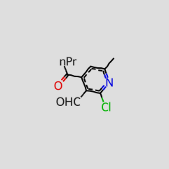 CCCC(=O)c1cc(C)nc(Cl)c1C=O